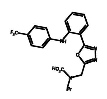 CC(C)N(Cc1nnc(-c2ccccc2Nc2ccc(C(F)(F)F)cc2)o1)C(=O)O